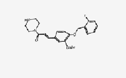 COc1cc(/C=C/C(=O)N2CCNCC2)ccc1OCc1ccccc1F